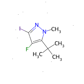 Cn1nc(I)c(F)c1C(C)(C)C